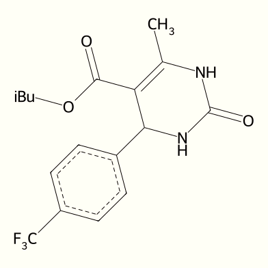 CCC(C)OC(=O)C1=C(C)NC(=O)NC1c1ccc(C(F)(F)F)cc1